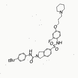 CC(C)(C)c1ccc(NC(=O)N2Cc3ccc(S(=O)(=O)Nc4ccc(OCCCN5CCCCC5)cc4F)cc3C2)cc1